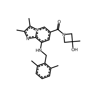 Cc1cccc(C)c1CNc1cc(C(=O)N2CC(C)(O)C2)cn2c(C)c(C)nc12